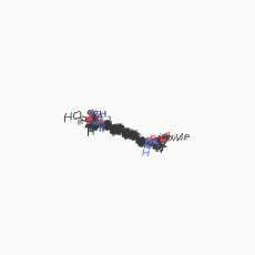 COC(=O)N[C@H](C(=O)N1[C@@H]2C[C@@H]2C[C@H]1c1nc2cc(-c3ccc4cc(-c5ccc6cc(-c7ccc8[nH]c([C@@H]9C[C@H]%10C[C@H]%10N9C(=O)[C@H](C(C)C)N(C)C(=O)O)nc8c7)ccc6c5)ccc4c3)ccc2[nH]1)C(C)C